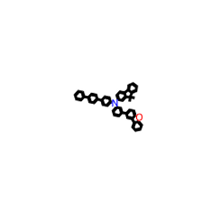 CC1(C)c2ccccc2-c2ccc(N(c3ccc(-c4ccc(-c5ccccc5)cc4)cc3)c3cccc(-c4ccc5oc6ccccc6c5c4)c3)cc21